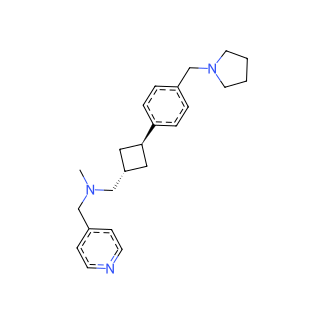 CN(Cc1ccncc1)C[C@H]1C[C@H](c2ccc(CN3CCCC3)cc2)C1